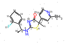 Bc1cc(C2(C)SC(N[C@@H](C)c3ccccc3F)=NC2=O)ccn1